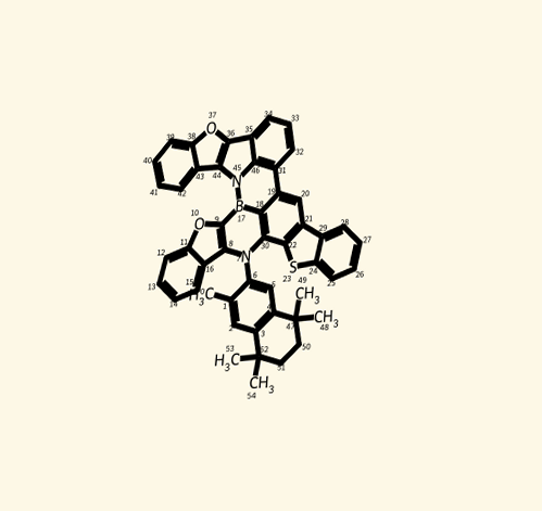 Cc1cc2c(cc1N1c3c(oc4ccccc34)B3c4c(cc5c(sc6ccccc65)c41)-c1cccc4c5oc6ccccc6c5n3c14)C(C)(C)CCC2(C)C